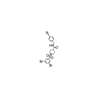 N#Cc1ccc(CNC(=O)C2CCN(S(=O)(=O)c3cc(Br)cc(Br)c3)CC2)cc1